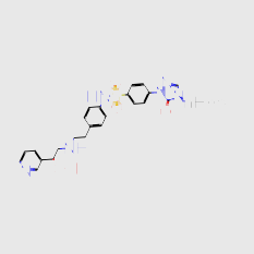 CCCCCCCn1cnn(-c2ccc(S(=O)(=O)Nc3ccc(CCNCC(O)c4cccnc4)cc3)cc2)c1=O